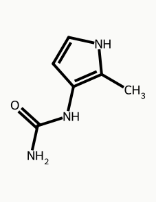 Cc1[nH]ccc1NC(N)=O